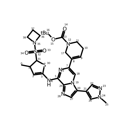 CC1C=C(Nc2nc(C3=CCCN(C(=O)OC(C)(C)C)C3)cn3c(-c4cnn(C)c4)cnc23)SC1S(=O)(=O)N1CCC1